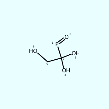 O=PC(O)(O)CO